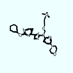 C[Si](C)(C)CCOCN(c1ccc(N2CCOCC2)cn1)c1ncc(-c2ccnc(OC3CCCCC3)n2)s1